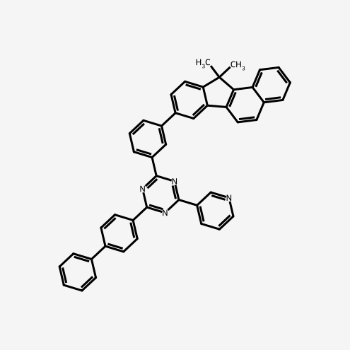 CC1(C)c2ccc(-c3cccc(-c4nc(-c5ccc(-c6ccccc6)cc5)nc(-c5cccnc5)n4)c3)cc2-c2ccc3ccccc3c21